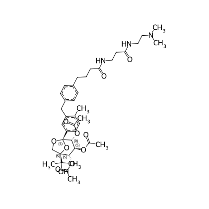 CC(=O)O[C@@H]1[C@@H](OC(C)=O)[C@@]2(c3ccc(C)c(Cc4ccc(CCCC(=O)NCCC(=O)NCCN(C)C)cc4)c3)OC[C@](C(C)(C)O)(O2)[C@H]1OC(C)=O